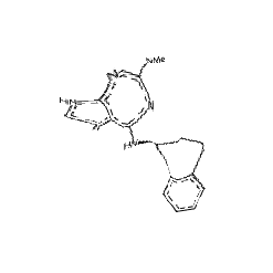 CNc1nc(N[C@H]2CCc3ccccc32)c2nc[nH]c2n1